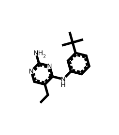 CCc1cnc(N)nc1Nc1cccc(C(C)(C)C)c1